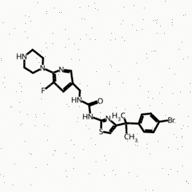 CC(C)(c1ccc(Br)cc1)c1csc(NC(=O)NCc2cnc(N3CCNCC3)c(F)c2)n1